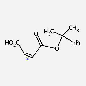 CCCC(C)(C)OC(=O)/C=C\C(=O)O